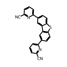 N#Cc1cccc(-c2ccc3sc4ccc(-c5cccc(C#N)n5)cc4c3c2)n1